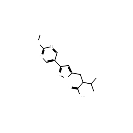 COc1ncc(-c2cc(CC(C(=O)O)C(C)C)on2)cn1